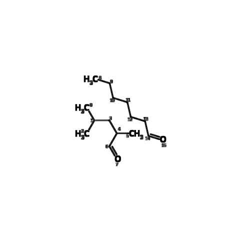 CC(C)CC(C)C=O.CCCCCCC=O